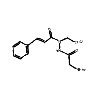 CC(=O)NCC(=O)NN(C[C]=O)C(=O)/C=C/c1ccccc1